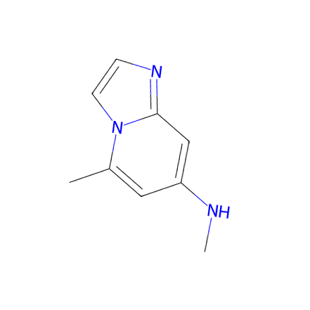 CNc1cc(C)n2ccnc2c1